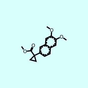 COC(=O)C1(c2ccc3cc(OC)c(OC)cc3c2)CC1